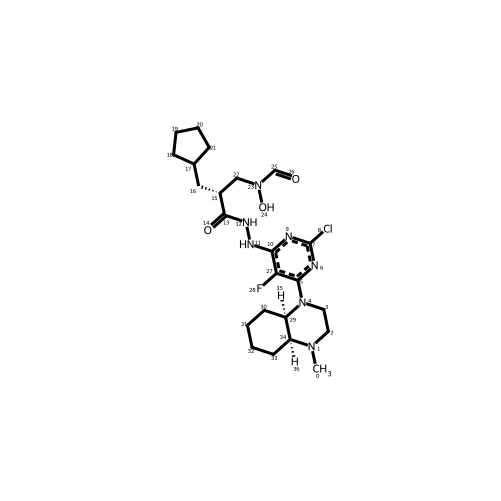 CN1CCN(c2nc(Cl)nc(NNC(=O)[C@H](CC3CCCC3)CN(O)C=O)c2F)[C@@H]2CCCC[C@@H]21